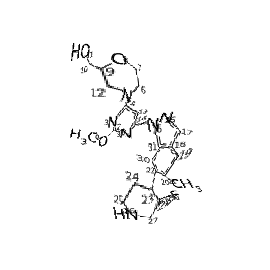 COc1nc(N2CCOC(CO)C2)cc(-n2ncc3cc(C)c(C4CCNC[C@@H]4F)cc32)n1